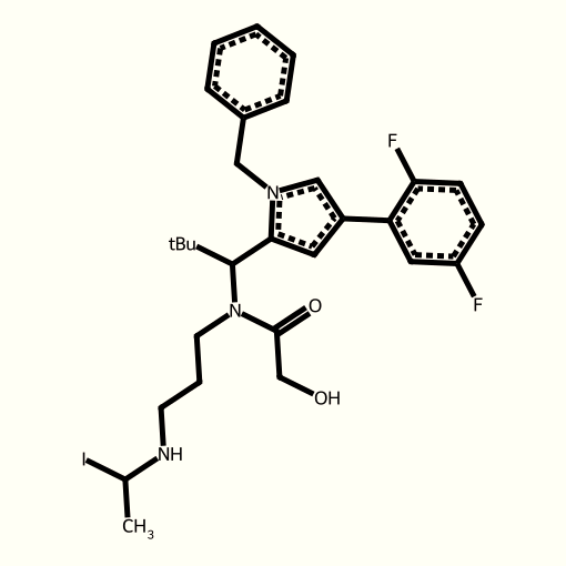 CC(I)NCCCN(C(=O)CO)C(c1cc(-c2cc(F)ccc2F)cn1Cc1ccccc1)C(C)(C)C